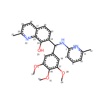 COc1cc(C(Nc2cccc(C)n2)c2ccc3ccc(C)nc3c2O)cc(OC)c1OC